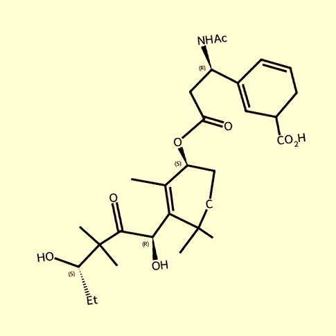 CC[C@H](O)C(C)(C)C(=O)[C@H](O)C1=C(C)[C@@H](OC(=O)C[C@@H](NC(C)=O)C2=CC(C(=O)O)CC=C2)CCC1(C)C